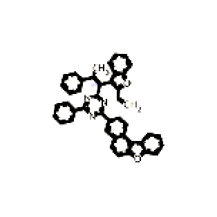 C=Cc1oc2ccccc2c1/C(=C(\C)c1ccccc1)c1nc(-c2ccccc2)nc(-c2ccc3c(ccc4oc5ccccc5c43)c2)n1